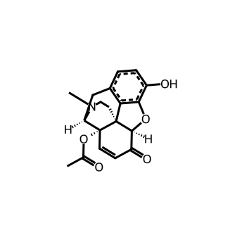 CC(=O)O[C@@]12C=CC(=O)[C@@H]3Oc4c(O)ccc5c4[C@@]31CCN(C)[C@@H]2C5